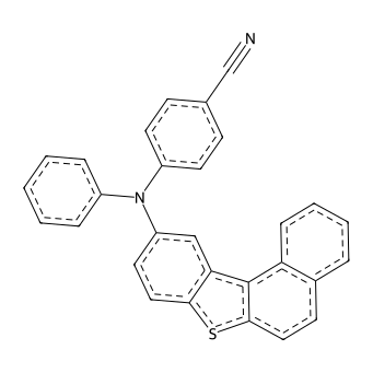 N#Cc1ccc(N(c2ccccc2)c2ccc3sc4ccc5ccccc5c4c3c2)cc1